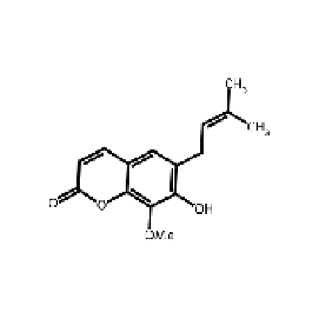 COc1c(O)c(CC=C(C)C)cc2ccc(=O)oc12